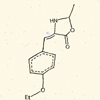 CCOc1ccc(/C=C2/NC(C)OC2=O)cc1